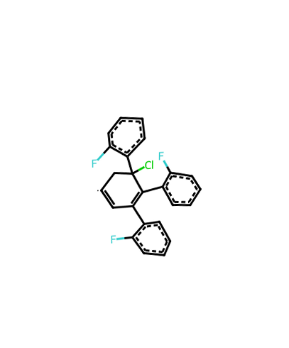 Fc1ccccc1C1=C(c2ccccc2F)C(Cl)(c2ccccc2F)C[C]=C1